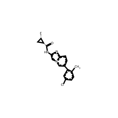 Cc1ccc(Cl)cc1-c1ccc2nc(NC(=O)[C@@H]3C[C@@H]3F)cn2c1